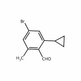 Cc1cc(Br)cc(C2CC2)c1C=O